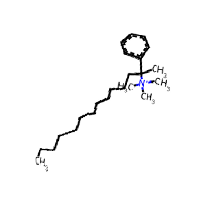 CCCCCCCCCCCCC(C)(c1ccccc1)[N+](C)(C)C